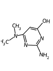 CN(C)c1cc(O)nc(N)n1